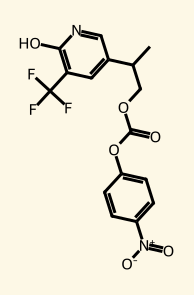 CC(COC(=O)Oc1ccc([N+](=O)[O-])cc1)c1cnc(O)c(C(F)(F)F)c1